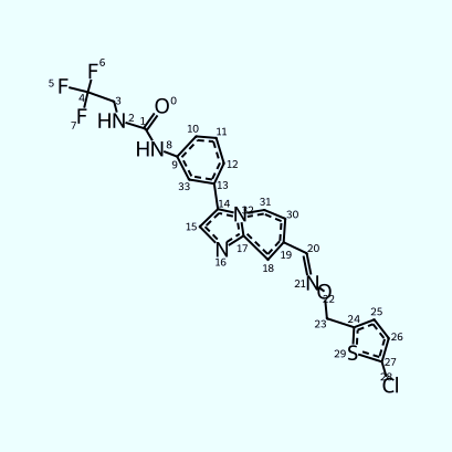 O=C(NCC(F)(F)F)Nc1cccc(-c2cnc3cc(C=NOCc4ccc(Cl)s4)ccn23)c1